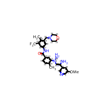 COc1cncc(/C(N)=C/N(N)c2cc(C(=O)Nc3cc(CN4CCOCC4)c(C)c(C(F)(F)F)c3)ccc2C)c1